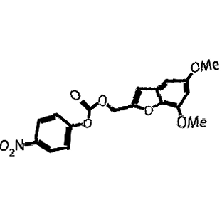 COc1cc(OC)c2oc(COC(=O)Oc3ccc([N+](=O)[O-])cc3)cc2c1